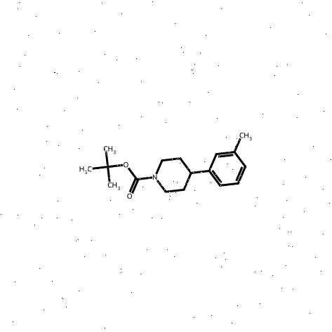 Cc1cccc(C2CCN(C(=O)OC(C)(C)C)CC2)c1